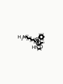 CC(C1CNCCO1)N(C1CCCCC1)S(=O)(=O)CCCCCCN